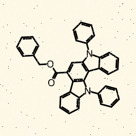 O=C(OCc1ccccc1)c1cc2c(c3ccccc3n2-c2ccccc2)c2c1c1ccccc1n2-c1ccccc1